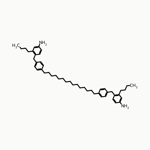 CCCCc1cc(N)ccc1Cc1ccc(CCCCCCCCCCCCCCCc2ccc(Cc3ccc(N)cc3CCCC)cc2)cc1